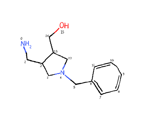 NCC1CN(Cc2ccccc2)CC1CO